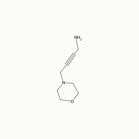 NCC#CCN1CCOCC1